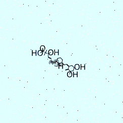 C=C1C(=CC=C2CCC[C@]3(C)[C@@H]([C@H](C)C=CC(O)C(C)(C)C(=O)O)CC[C@@H]23)CC(O)CC1O